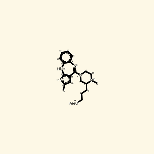 COCCC[C@H]1CN(C2=Nc3ccccc3Nc3sc(C)cc32)CCN1C